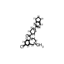 CN1CCN(C(=O)C2CCN(c3ncc4c(n3)CCC4)CC2)c2ccc(Cl)cc2C1